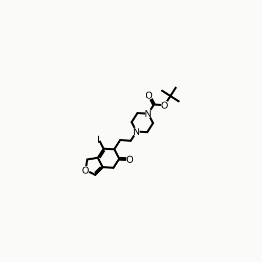 CC(C)(C)OC(=O)N1CCN(CCC2C(=O)CC3=COCC3=C2I)CC1